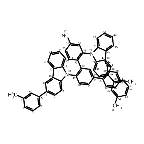 Cc1cccc(-c2ccc3c(c2)c2ccccc2n3-c2ccc(-c3ccc(C(F)(F)F)cc3C(F)(F)F)cc2-c2ccc(C#N)cc2-n2c3ccccc3c3cc(-c4cccc(C)c4)ccc32)c1